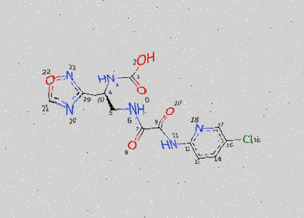 O=C(O)N[C@@H](CNC(=O)C(=O)Nc1ccc(Cl)cn1)c1ncon1